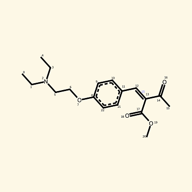 CCN(CC)CCOc1ccc(/C=C(/C(C)=O)C(=O)OC)cc1